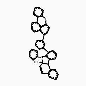 CC12C=Cc3ccccc3C1c1cccc(-c3cccc(-c4ccc5c6c(cccc46)-c4ccccc4O5)c3)c1N2c1ccccc1